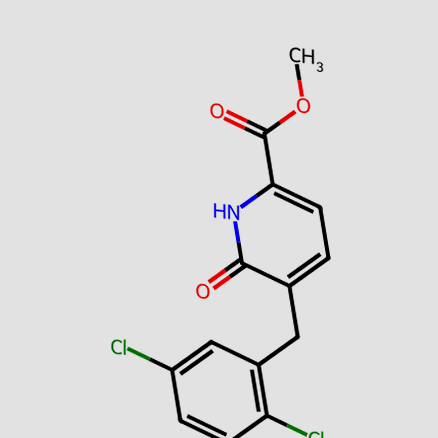 COC(=O)c1ccc(Cc2cc(Cl)ccc2Cl)c(=O)[nH]1